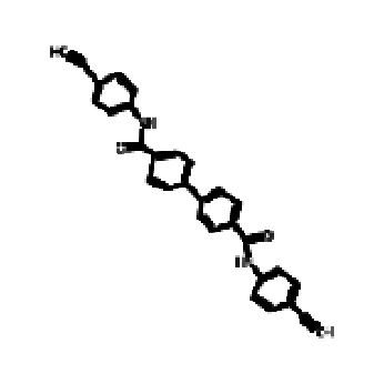 C#Cc1ccc(NC(=O)c2ccc(-c3ccc(C(=O)Nc4ccc(C#C)cc4)cc3)cc2)cc1